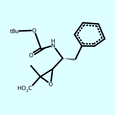 CC(C)(C)OC(=O)N[C@H](Cc1ccccc1)C1OC1(C)C(=O)O